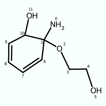 NC1(OCCO)C=CC=CC1O